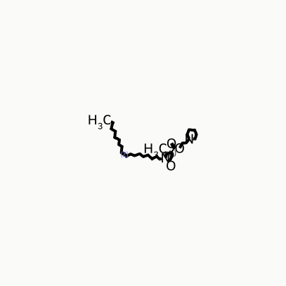 CCCCCCCC/C=C\CCCCCCCCN1C(=O)C[C@H](C(=O)OCCN2CCCCC2)[C@H]1C